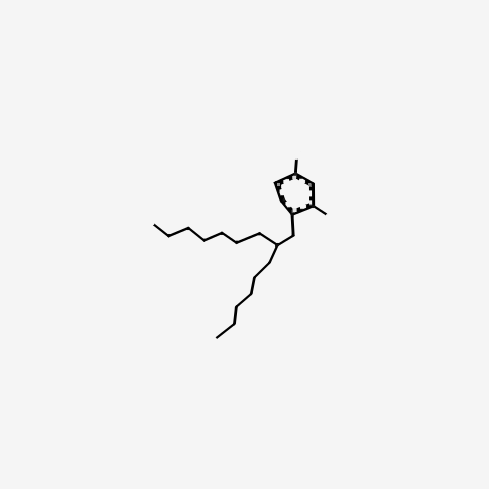 CCCCCCCC(CCCCCC)Cc1ccc(Cl)cc1Cl